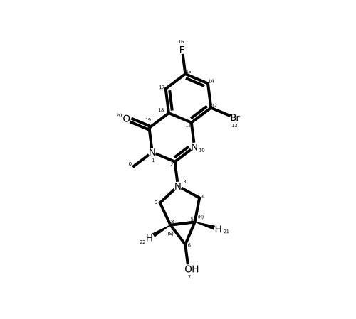 Cn1c(N2C[C@@H]3C(O)[C@@H]3C2)nc2c(Br)cc(F)cc2c1=O